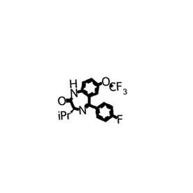 CC(C)[C@@H]1N=C(c2ccc(F)cc2)c2cc(OC(F)(F)F)ccc2NC1=O